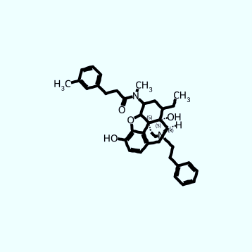 CCC1CC(N(C)C(=O)CCc2cccc(C)c2)C2Oc3c(O)ccc4c3[C@@]23CCN(CCc2ccccc2)[C@H](C4)[C@]13O